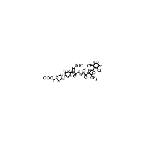 O=C([O-])C[C@H]1CC[C@H](c2ccc(NC(=O)CCNC(=O)c3nc(-c4c(Cl)cccc4Cl)oc3C(F)(F)F)cc2)CC1.[Na+]